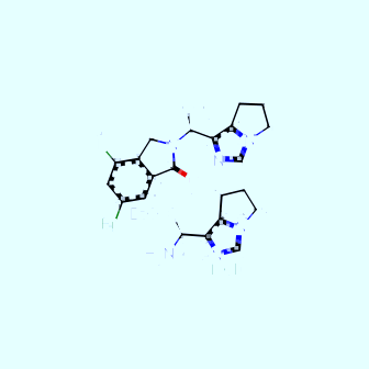 CCOC(=O)[C@@H](c1ncn2c1CCC2)N1Cc2c(F)cc(Br)cc2C1=O.CCOC(=O)[C@H](N)c1ncn2c1CCC2.Cl